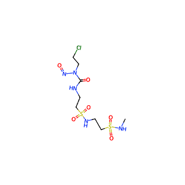 CNS(=O)(=O)CCNS(=O)(=O)CCNC(=O)N(CCCl)N=O